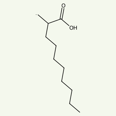 [CH2]C(CCCCCCCC)C(=O)O